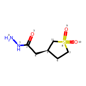 NNC(=O)C[C@@H]1CCS(=O)(=O)C1